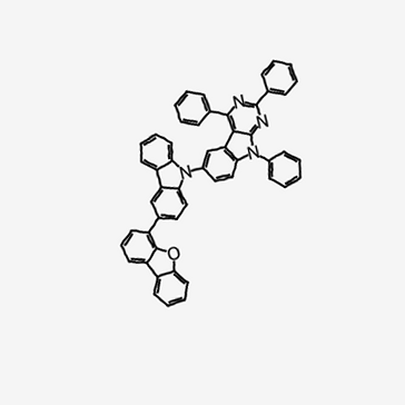 c1ccc(-c2nc(-c3ccccc3)c3c4cc(-n5c6ccccc6c6cc(-c7cccc8c7oc7ccccc78)ccc65)ccc4n(-c4ccccc4)c3n2)cc1